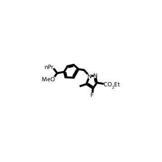 CCCC(OC)c1ccc(Cn2nc(C(=O)OCC)c(F)c2C)cc1